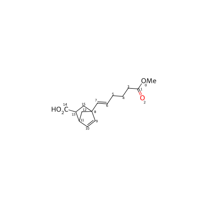 COC(=O)CCCC=CC12C=CC(C1)C(C(=O)O)C2